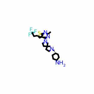 Cc1nc(N2CCC3(CCN(C[C@H]4CC[C@H](N)CC4)C3)C2)c2cc(CC(F)(F)F)sc2n1